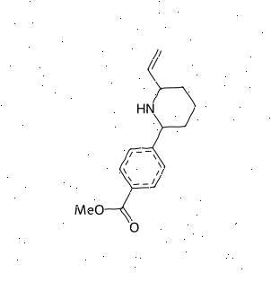 C=CC1CCCC(c2ccc(C(=O)OC)cc2)N1